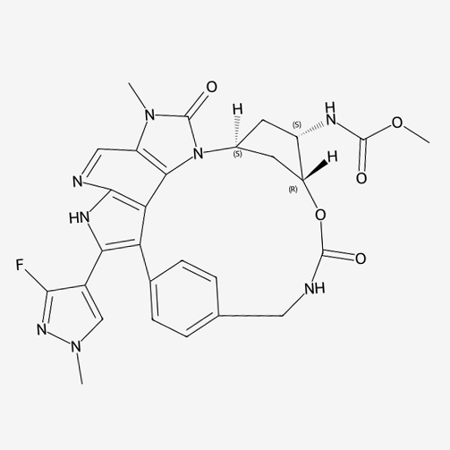 COC(=O)N[C@H]1C[C@H]2C[C@H]1OC(=O)NCc1ccc(cc1)-c1c(-c3cn(C)nc3F)[nH]c3ncc4c(c13)n2c(=O)n4C